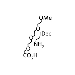 CCCCCCCCCCCCN.COCCOCCOCCOCC(=O)O